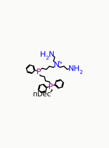 CCCCCCCCCCC[P+](CCCCP(CCCC[N+](C)(CCN)CCCN)c1ccccc1)(c1ccccc1)c1ccccc1